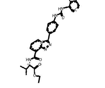 CCOC(=O)[C@@H](NC(=O)c1cccn2c(-c3ccc(NC(=O)Nc4ccccc4C)cc3)nnc12)C(C)C